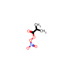 CC(C)C(=O)OO[N+](=O)[O-]